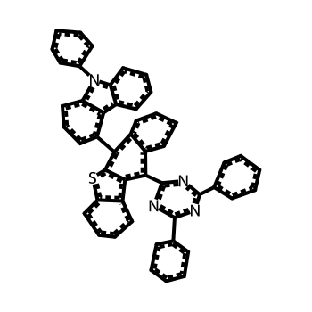 c1ccc(-c2nc(-c3ccccc3)nc(-c3c4ccccc4c(-c4cccc5c4c4ccccc4n5-c4ccccc4)c4sc5ccccc5c34)n2)cc1